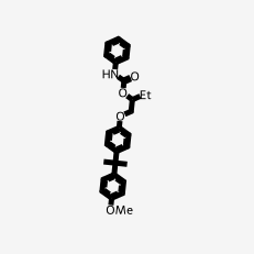 CCC(COc1ccc(C(C)(C)c2ccc(OC)cc2)cc1)OC(=O)Nc1ccccc1